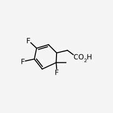 CC1(F)C=C(F)C(F)=CC1CC(=O)O